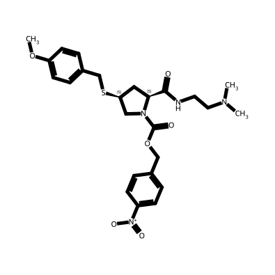 COc1ccc(CS[C@H]2C[C@@H](C(=O)NCCN(C)C)N(C(=O)OCc3ccc([N+](=O)[O-])cc3)C2)cc1